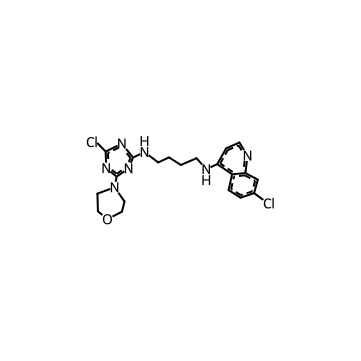 Clc1ccc2c(NCCCCNc3nc(Cl)nc(N4CCOCC4)n3)ccnc2c1